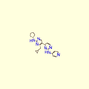 c1cc(Nc2nccc(-c3cnc(NC4CCCC4)nc3CC3CC3)n2)ccn1